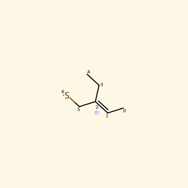 C/C=C(\CC)C[S]